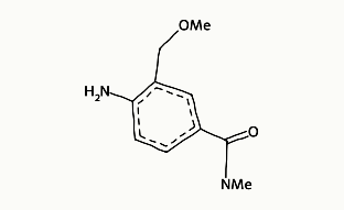 CNC(=O)c1ccc(N)c(COC)c1